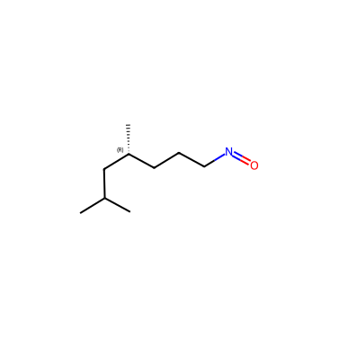 CC(C)C[C@H](C)CCCN=O